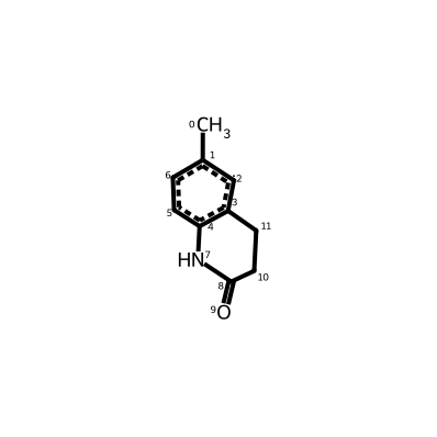 Cc1[c]c2c(cc1)NC(=O)CC2